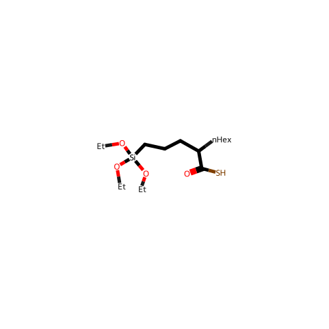 CCCCCCC(CCC[Si](OCC)(OCC)OCC)C(=O)S